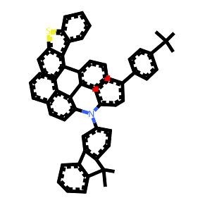 CC(C)(C)c1ccc(-c2ccc(N(c3ccc4c(c3)-c3ccccc3C4(C)C)c3ccc4ccccc4c3-c3ccccc3-c3cccc4sc5ccccc5c34)cc2)cc1